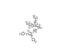 COc1ccc(COc2cn(OCc3ccc(OC)cc3)c(COC(=O)NC[C@H]3NC(=O)[C@H]3NC(=O)/C(=N\OC(C)(C)C(=O)OC(C)(C)C)C3CSC(NC(=O)OC(C)(C)C)=N3)cc2=O)cc1